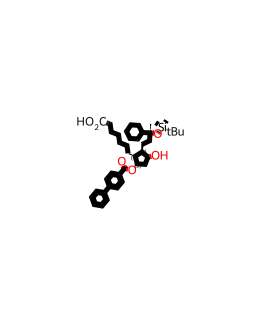 CC(C)(C)[Si](C)(C)O[C@@](C)(CC[C@H]1C(O)C[C@H](OC(=O)c2ccc(-c3ccccc3)cc2)[C@@H]1CCCCCCC(=O)O)C1CCCCC1